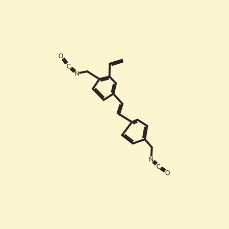 C=Cc1cc(/C=C/c2ccc(CN=C=O)cc2)ccc1CN=C=O